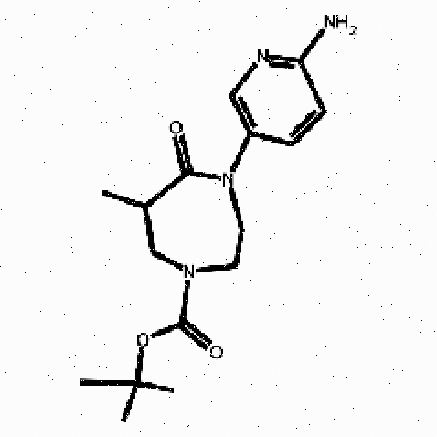 CC1CN(C(=O)OC(C)(C)C)CCN(c2ccc(N)nc2)C1=O